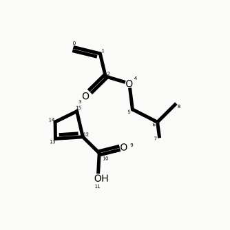 C=CC(=O)OCC(C)C.O=C(O)C1=CCC1